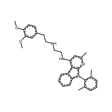 COc1ccc(CCNCCNc2cc(C)nc3c2c2ccccc2n3-c2c(C)cccc2C)cc1OC